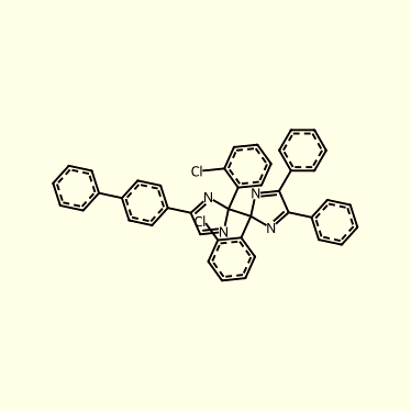 Clc1ccccc1C1(C2(c3ccccc3Cl)N=C(c3ccccc3)C(c3ccccc3)=N2)N=CC(c2ccc(-c3ccccc3)cc2)=N1